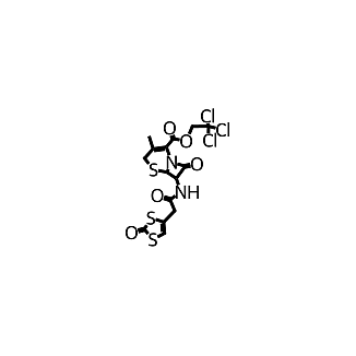 CC1=C(C(=O)OCC(Cl)(Cl)Cl)N2C(=O)C(NC(=O)Cc3csc(=O)s3)C2SC1